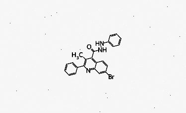 Cc1c(-c2ccccc2)nc2cc(Br)ccc2c1C(=O)NNc1ccccc1